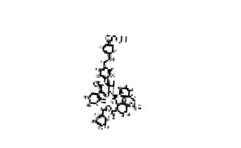 CC(C)N(Cc1cccc(C(=O)Nc2sc3c(c2C(=O)Nc2ccc(CCc4ccc(C(=O)O)cc4)cc2)CCCC3)c1)C1CCC(C(=O)OCc2ccccc2)CC1